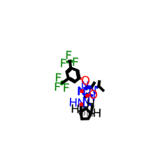 Cc1nnc(N2C[C@H]3CC[C@@H](C2)[C@H]3Nc2nc(Oc3cc(C(F)(F)F)cc(C(F)(F)F)c3)n(C(C)C)n2)o1